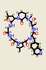 CC(C)CC1C(=O)NC(Cc2ccc3ccncc3c2)C(=O)NC(C)C(=O)N(C)C2CCCN(C2=O)C(CC(C)C)C(=O)NCC(=O)NCC(=O)N1C